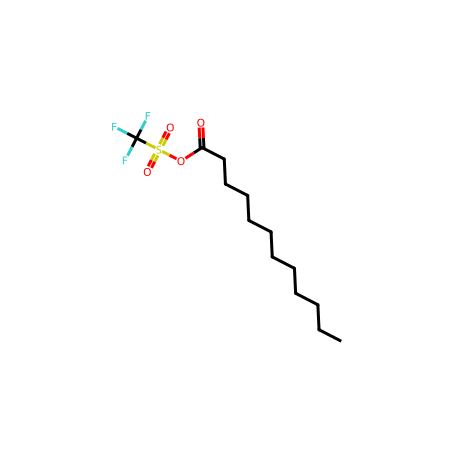 CCCCCCCCCCCC(=O)OS(=O)(=O)C(F)(F)F